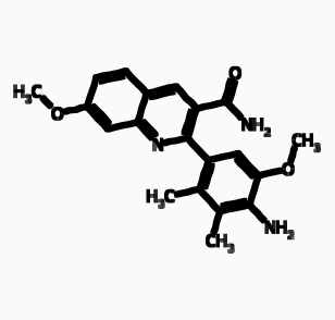 COc1ccc2cc(C(N)=O)c(-c3cc(OC)c(N)c(C)c3C)nc2c1